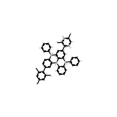 Cc1cc(C)c(-c2ccc3c(c2)B2c4ccccc4N(c4ccccc4)c4cc(-c5ncc(C)nc5C)cc(c42)N3c2ccccc2)c(C)c1